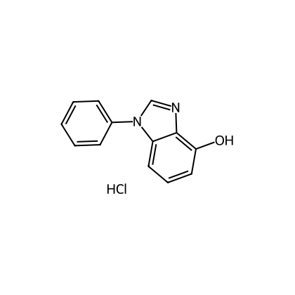 Cl.Oc1cccc2c1ncn2-c1ccccc1